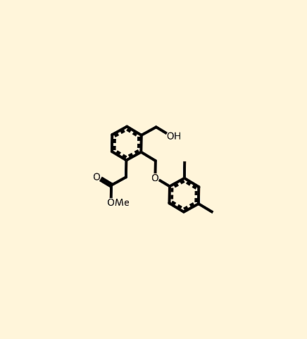 COC(=O)Cc1cccc(CO)c1COc1ccc(C)cc1C